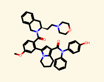 COc1ccc(C(=O)N2Cc3ccccc3C[C@H]2CCN2CCOCC2)c(-c2cc(C(=O)N(c3ccccc3)c3ccc(O)cc3)c3n2CCCC3)c1